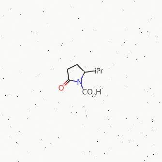 CC(C)C1CCC(=O)N1C(=O)O